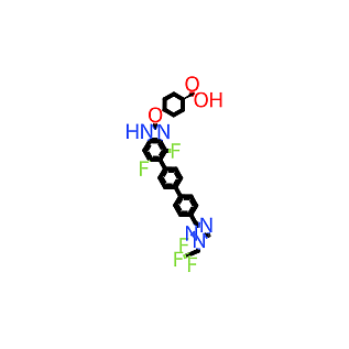 O=C(O)[C@H]1CC[C@H](Oc2nc3c(F)c(-c4ccc(-c5ccc(-c6ncn(CC(F)(F)F)n6)cc5)cc4)c(F)cc3[nH]2)CC1